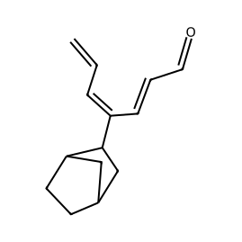 C=CC=C(C=CC=O)C1CC2CCC1C2